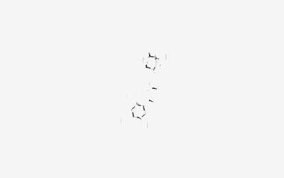 CCc1cc(C(F)(F)F)c(C(=O)OC(=O)CSc2n[nH]c(=O)[nH]c2=O)cc1C(F)(F)F